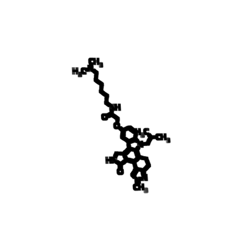 CC(C)Cn1c2ccc(OCC(=O)NCCCCCCN(C)C)cc2c2c3c(c4c(c21)CCc1nn(C)cc1-4)C(=O)NC3